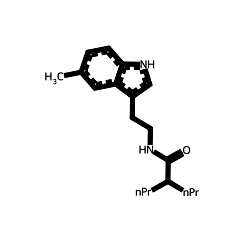 CCCC(CCC)C(=O)NCCc1c[nH]c2ccc(C)cc12